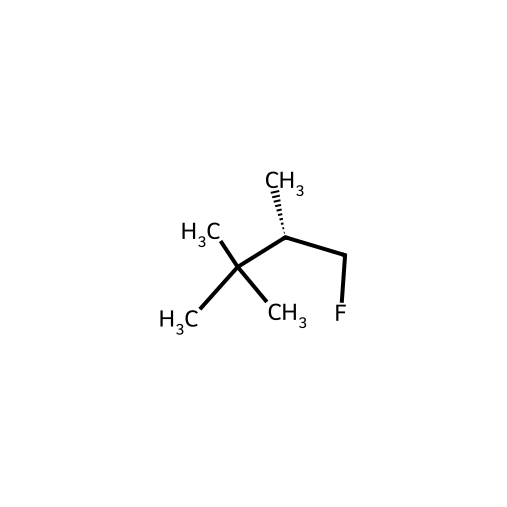 C[C@H](CF)C(C)(C)C